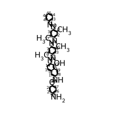 Cc1cc(N=Nc2cc(C)c(N=Nc3ccc4cc(NOc5ccc(N)cc5)ccc4c3O)cc2C)c(C)cc1N=Nc1ccccc1